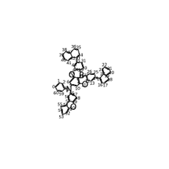 c1ccc(N(c2cc3c4c(c2)Oc2cc(-c5cccc6ccccc56)ccc2B4c2ccc(-c4cccc5ccccc45)cc2O3)c2ccc3oc4ccccc4c3c2)cc1